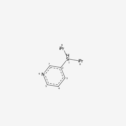 CC(C)[SiH](c1cccnc1)C(C)C